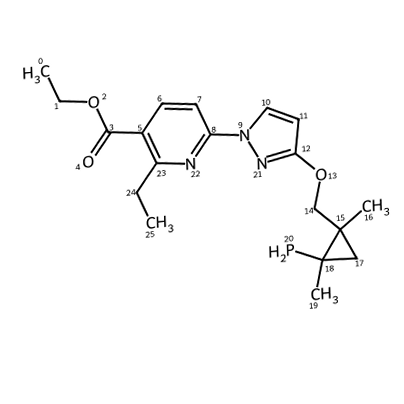 CCOC(=O)c1ccc(-n2ccc(OCC3(C)CC3(C)P)n2)nc1CC